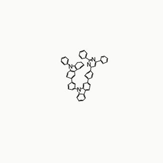 C1=Cc2c(n(-c3ccccc3)c3ccc(-c4cccc(-n5c6ccccc6c6ccc(-c7ccc(-c8cc(-c9ccccc9)nc(-c9ccccc9)n8)cc7)cc65)c4)cc23)CC1